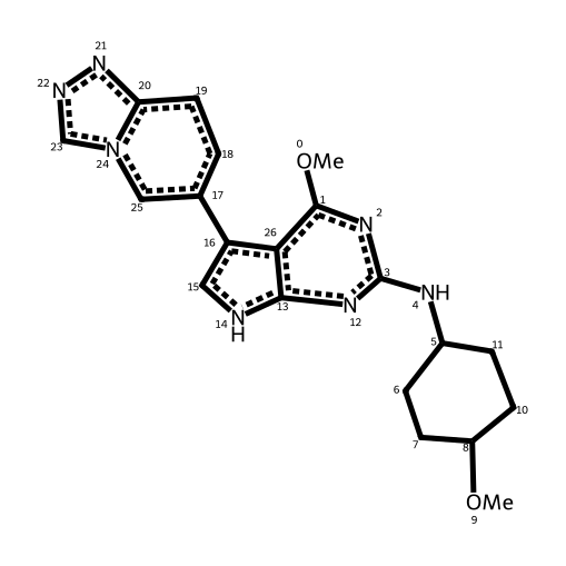 COc1nc(NC2CCC(OC)CC2)nc2[nH]cc(-c3ccc4nncn4c3)c12